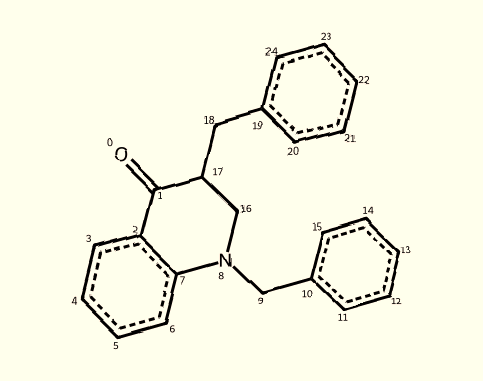 O=C1c2ccccc2N(Cc2ccccc2)CC1Cc1ccccc1